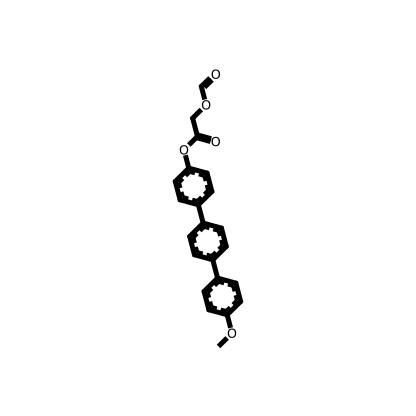 COc1ccc(-c2ccc(-c3ccc(OC(=O)COC=O)cc3)cc2)cc1